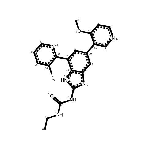 CCNC(=O)Nc1nc2cc(-c3cnccc3OC)cc(-c3ncccc3F)c2[nH]1